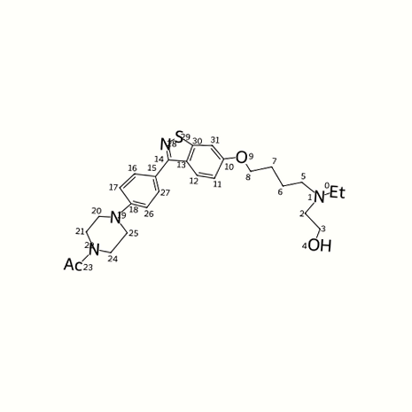 CCN(CCO)CCCCOc1ccc2c(-c3ccc(N4CCN(C(C)=O)CC4)cc3)nsc2c1